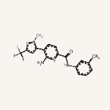 Cc1cccc(NC(=O)c2ccc(-c3cc(C(F)(F)F)nn3C)c(N)n2)c1